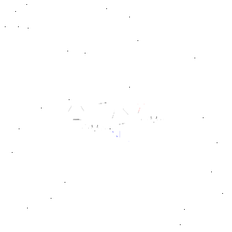 COC(=O)c1cc(N)cc(C2=C(Cc3ccccc3OC)CCC2)c1